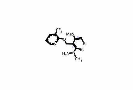 CC/C=C(SC)\C(COc1ncccc1C(F)(F)F)=C(/CC)N(C)N